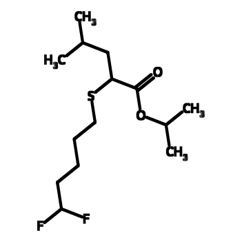 CC(C)CC(SCCCCC(F)F)C(=O)OC(C)C